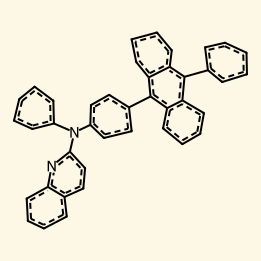 c1ccc(-c2c3ccccc3c(-c3ccc(N(c4ccccc4)c4ccc5ccccc5n4)cc3)c3ccccc23)cc1